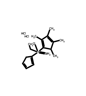 C[CH2][Ti](=[SiH2])([Cl])([C]1=CC=CC1)[C]1=C(C)C(C)=C(C)C1C.Cl.Cl